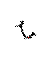 CCC(C)(CCOCCOC(=O)CCCCC(=O)OCCOCCC(C)(CC)OCC1COC(=O)O1)OCC1COC(=O)O1